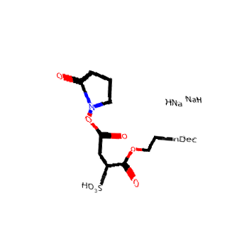 CCCCCCCCCCCCOC(=O)C(CC(=O)ON1CCCC1=O)S(=O)(=O)O.[NaH].[NaH]